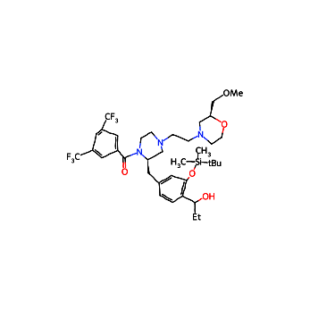 CCC(O)c1ccc(C[C@@H]2CN(CCN3CCO[C@H](COC)C3)CCN2C(=O)c2cc(C(F)(F)F)cc(C(F)(F)F)c2)cc1O[Si](C)(C)C(C)(C)C